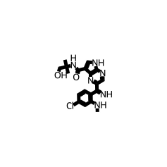 CNc1cc(Cl)ccc1C(=N)c1cnc2[nH]cc(C(=O)NC(C)(C)CO)c2n1